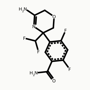 NC(=O)c1cc(C2(C(F)F)COCC(N)=N2)c(F)cc1F